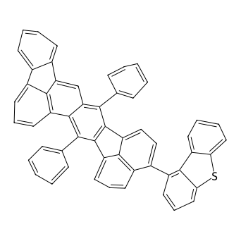 c1ccc(-c2c3cc4c5ccccc5c5cccc(c3c(-c3ccccc3)c3c6cccc7c(-c8cccc9sc%10ccccc%10c89)ccc(c23)c76)c54)cc1